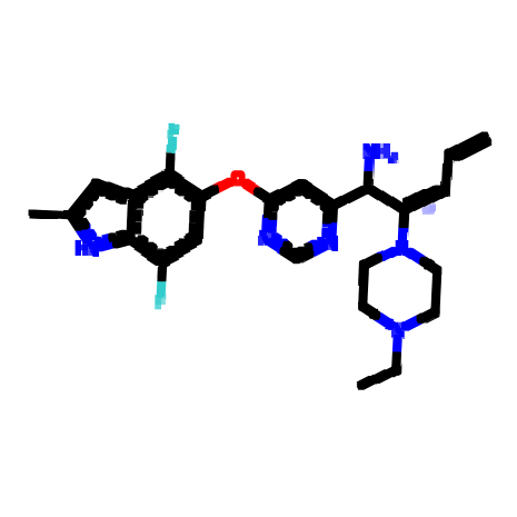 C=C/C=C(\C(N)c1cc(Oc2cc(F)c3[nH]c(C)cc3c2F)ncn1)N1CCN(CC)CC1